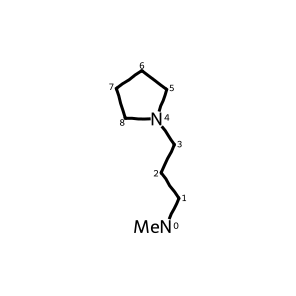 [CH2]NCCCN1CCCC1